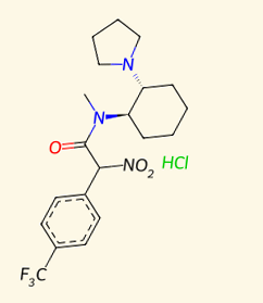 CN(C(=O)C(c1ccc(C(F)(F)F)cc1)[N+](=O)[O-])[C@@H]1CCCC[C@H]1N1CCCC1.Cl